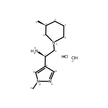 C[C@H]1CCCN(C[C@H](N)c2cnn(C)c2)C1.Cl.Cl